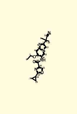 CCOc1cc2nc(C(C)(C)C#N)cn2cc1NC(=O)c1coc(C2CC2)n1